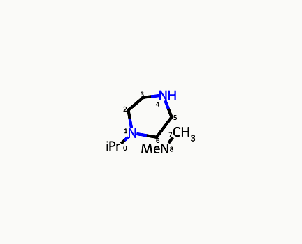 CC(C)N1CCNCC1.CNC